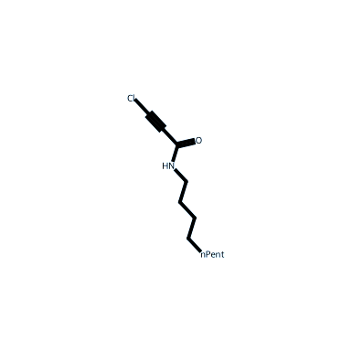 CCCCCCCCCNC(=O)C#CCl